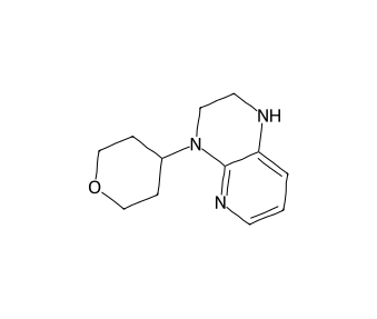 c1cnc2c(c1)NCCN2C1CCOCC1